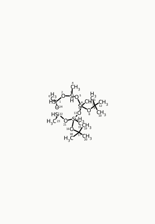 C[SiH]1O[SiH](C)O[Si](C)(OC(C)(C)C)O[Si](C)(OC(C)(C)C)O[SiH](C)O1